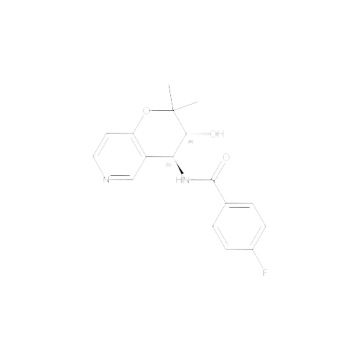 CC1(C)Oc2ccncc2[C@H](NC(=O)c2ccc(F)cc2)[C@H]1O